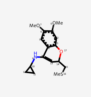 COc1cc2c(cc1OC)C(NC1CC1)=CC(CSC)O2